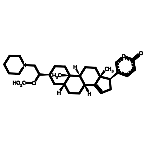 C[C@]12CC[C@H](C(CN3CCCCC3)OC(=O)O)C[C@H]1CC[C@H]1C3=CC[C@H](c4ccc(=O)oc4)[C@@]3(C)CC[C@@H]12